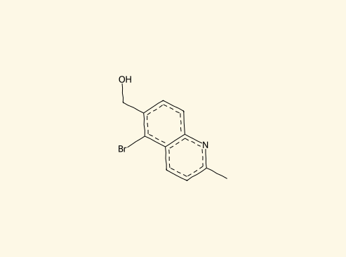 Cc1ccc2c(Br)c(CO)ccc2n1